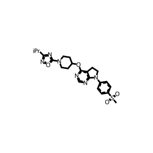 CC(C)c1noc(N2CCC(Oc3ncnc4c3CCN4c3ccc(S(C)(=O)=O)cc3)CC2)n1